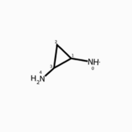 [NH]C1CC1N